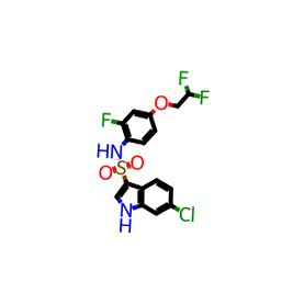 O=S(=O)(Nc1ccc(OCC(F)F)cc1F)c1c[nH]c2cc(Cl)ccc12